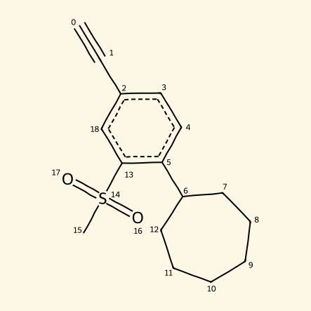 C#Cc1ccc(C2CCCCCC2)c(S(C)(=O)=O)c1